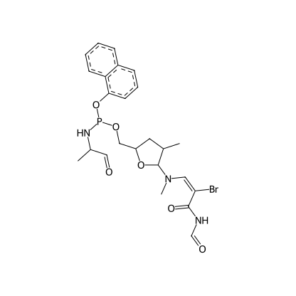 CC(C=O)NP(OCC1CC(C)C(N(C)/C=C(/Br)C(=O)NC=O)O1)Oc1cccc2ccccc12